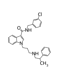 CC(CNCCCn1cc(C(=O)NCc2cccc(Cl)c2)c2ccccc21)c1ccccc1